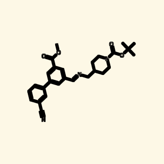 COC(=O)c1cc(/C=N/CC2CCN(C(=O)OC(C)(C)C)CC2)cc(-c2cccc(C#N)c2)c1